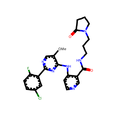 COc1cnc(-c2cc(Cl)ccc2F)nc1Nc1ccncc1C(=O)NCCCN1CCCC1=O